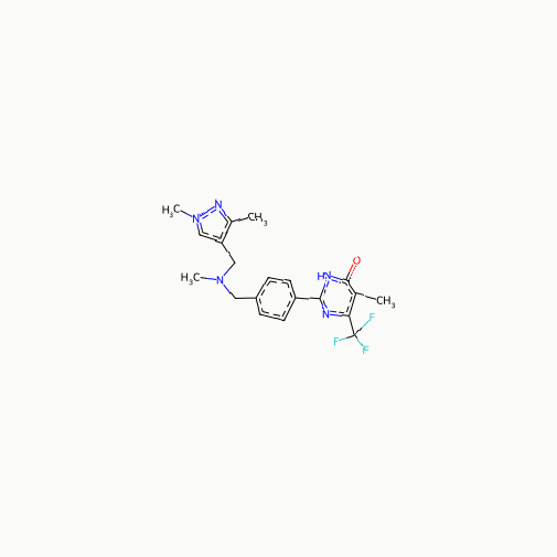 Cc1nn(C)cc1CN(C)Cc1ccc(-c2nc(C(F)(F)F)c(C)c(=O)[nH]2)cc1